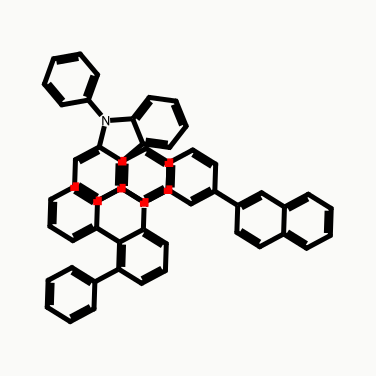 c1ccc(-c2ccccc2-c2c(-c3ccccc3)cccc2N(c2cccc(-c3ccc4ccccc4c3)c2)c2cccc3c2c2ccccc2n3-c2ccccc2)cc1